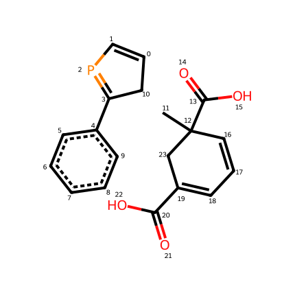 C1=CP=C(c2ccccc2)C1.CC1(C(=O)O)C=CC=C(C(=O)O)C1